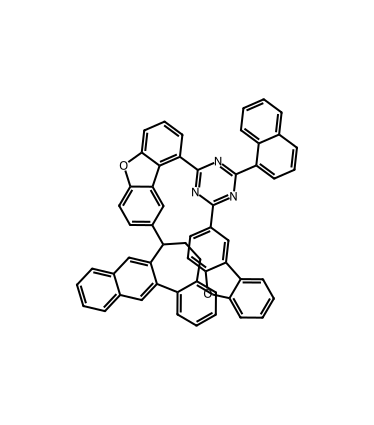 c1ccc2c(c1)CCC(c1ccc3oc4cccc(-c5nc(-c6ccc7oc8ccccc8c7c6)nc(-c6cccc7ccccc67)n5)c4c3c1)c1cc3ccccc3cc1-2